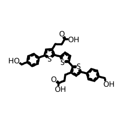 O=C(O)CCc1cc(-c2ccc(CO)cc2)sc1-c1ccc(-c2sc(-c3ccc(CO)cc3)cc2CCC(=O)O)s1